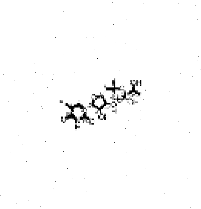 CCC(C)(C[C@H]1O[C@@H](n2cc(I)c(=O)[nH]c2=O)[C@H](O)[C@@H]1O)OP(=O)(O)C(C)O